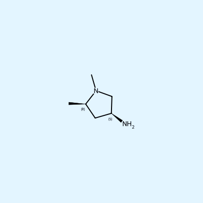 C[C@@H]1C[C@H](N)CN1C